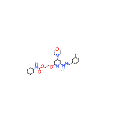 Cc1cccc(C=NNc2cc(N3CCOCC3)cc(OCCOC(=O)Nc3ccccc3)n2)c1